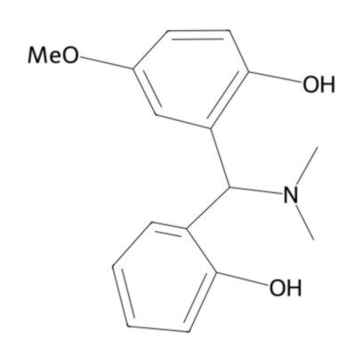 COc1ccc(O)c(C(c2ccccc2O)N(C)C)c1